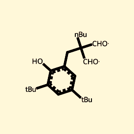 CCCCC([C]=O)([C]=O)Cc1cc(C(C)(C)C)cc(C(C)(C)C)c1O